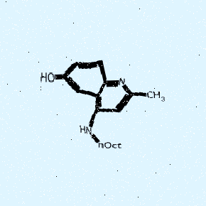 CCCCCCCCNc1cc(C)nc2ccc(O)cc12